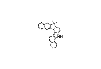 CC1(C)c2cc3ccccc3cc2-c2c1ccc1[nH]c3c4ccccc4ccc3c21